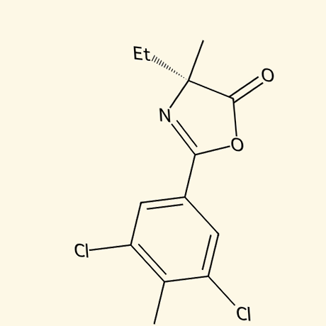 CC[C@@]1(C)N=C(c2cc(Cl)c(C)c(Cl)c2)OC1=O